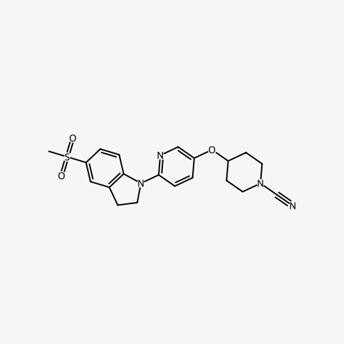 CS(=O)(=O)c1ccc2c(c1)CCN2c1ccc(OC2CCN(C#N)CC2)cn1